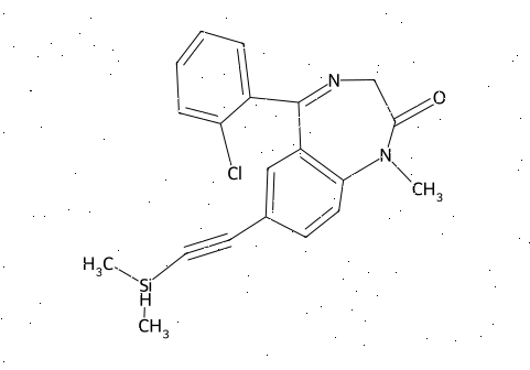 CN1C(=O)CN=C(c2ccccc2Cl)c2cc(C#C[SiH](C)C)ccc21